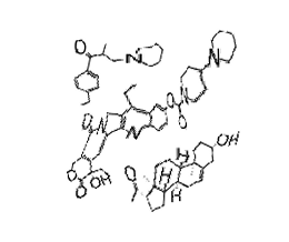 CC(=O)[C@H]1CC[C@H]2[C@@H]3CC=C4C[C@@H](O)CC[C@]4(C)[C@H]3CC[C@]12C.CCc1c2c(nc3ccc(OC(=O)N4CCC(N5CCCCC5)CC4)cc13)-c1cc3c(c(=O)n1C2)COC(=O)[C@]3(O)CC.CCc1ccc(C(=O)C(C)CN2CCCCC2)cc1